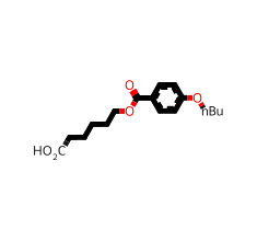 CCCCOc1ccc(C(=O)OCCCCCC(=O)O)cc1